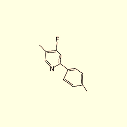 Cc1ccc(-c2cc(F)c(C)cn2)cc1